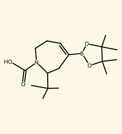 CC(C)(C)C1CC(B2OC(C)(C)C(C)(C)O2)=CCCN1C(=O)O